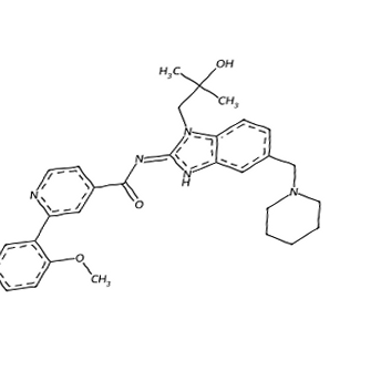 COc1ccccc1-c1cc(C(=O)/N=c2\[nH]c3cc(CN4CCCCC4)ccc3n2CC(C)(C)O)ccn1